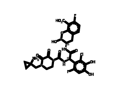 NC1(CN2CCN(C(=O)N[C@@H](C(=O)N[C@H]3Cc4ccc(F)c(C(=O)O)c4OB3O)c3c(F)cc(O)c(O)c3Cl)C(=O)C2=O)CC1